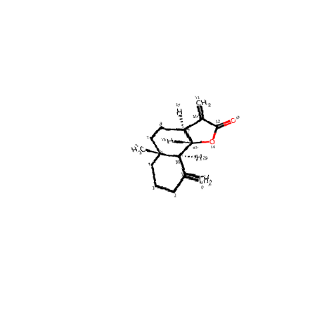 C=C1CCC[C@]2(C)CC[C@H]3C(=C)C(=O)O[C@@H]3[C@@H]12